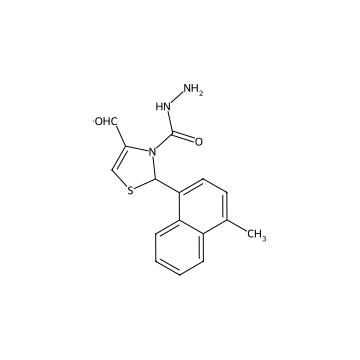 Cc1ccc(C2SC=C([C]=O)N2C(=O)NN)c2ccccc12